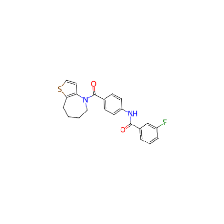 O=C(Nc1ccc(C(=O)N2CCCCc3sccc32)cc1)c1cccc(F)c1